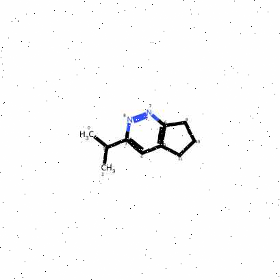 CC(C)c1cc2c(nn1)CCC2